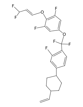 C=CC1CCC(c2ccc(C(F)(F)Oc3cc(F)c(O/C=C/C(F)F)c(F)c3)c(F)c2)CC1